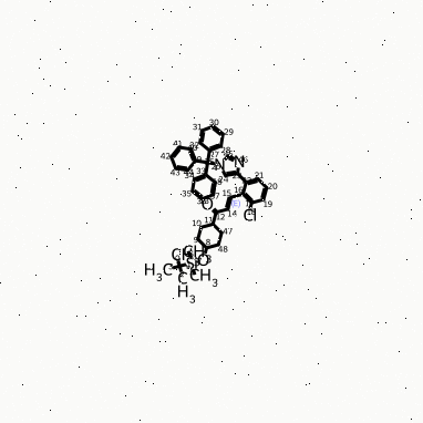 CC(C)(C)[Si](C)(C)OC1CCC(C(=O)/C=C/c2c(Cl)cccc2-c2cn(C(c3ccccc3)(c3ccccc3)c3ccccc3)cn2)CC1